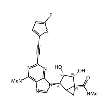 CNC(=O)[C@@]12CC1[C@@H](n1cnc3c(NC)nc(C#Cc4ccc(F)s4)nc31)[C@H](O)[C@@H]2O